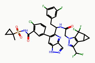 CC1(S(=O)(=O)NC(=O)c2cc(-c3cc4[nH]ncc4nc3C(Cc3cc(F)cc(F)c3)NC(=O)Cn3nc(C(F)F)c4c3C(F)(F)C3CC43)ccc2Cl)CC1